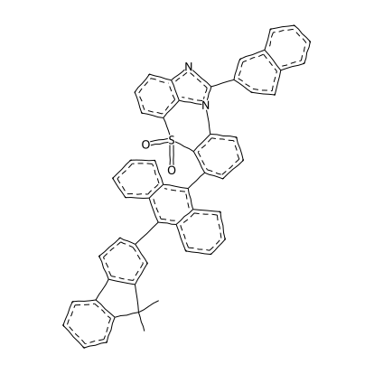 CC1(C)c2ccccc2-c2ccc(-c3c4ccccc4c(-c4cccc5c4S(=O)(=O)c4cccc6nc(-c7ccc8ccccc8c7)n-5c46)c4ccccc34)cc21